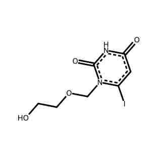 O=c1cc(I)n(COCCO)c(=O)[nH]1